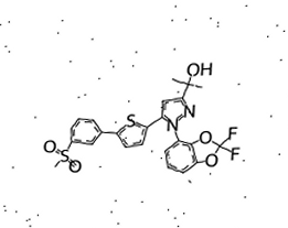 CC(C)(O)c1cc(-c2ccc(-c3cccc(S(C)(=O)=O)c3)s2)n(-c2cccc3c2OC(F)(F)O3)n1